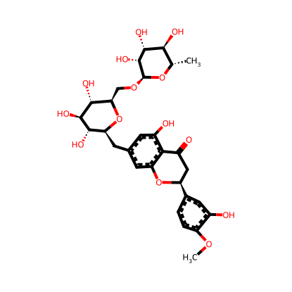 COc1ccc([C@@H]2CC(=O)c3c(O)cc(C[C@@H]4O[C@H](CO[C@@H]5O[C@@H](C)[C@H](O)[C@@H](O)[C@H]5O)[C@@H](O)[C@H](O)[C@H]4O)cc3O2)cc1O